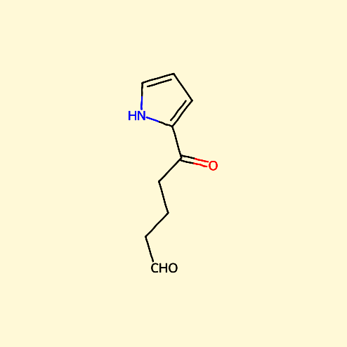 O=CCCCC(=O)c1ccc[nH]1